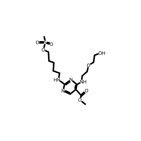 COC(=O)c1cnc(NCCCCCOS(C)(=O)=O)nc1NCCOCCO